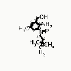 Cc1cc(CO)c(N)c(N(I)CCC(C)(C)C)c1